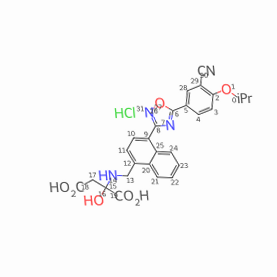 CC(C)Oc1ccc(-c2nc(-c3ccc(CNC(O)(CC(=O)O)C(=O)O)c4ccccc34)no2)cc1C#N.Cl